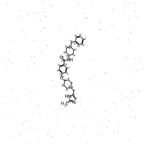 Cc1ncc(CN2CCC(Oc3ccc(C(=O)NC4CCN(Cc5ccccc5)CC4)cc3)CC2)[nH]1